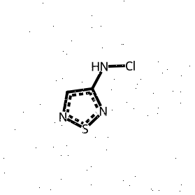 ClNc1cnsn1